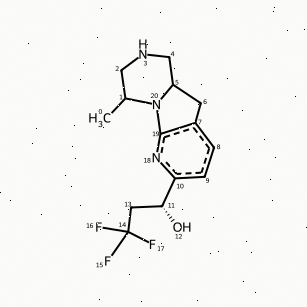 CC1CNCC2Cc3ccc([C@H](O)CC(F)(F)F)nc3N12